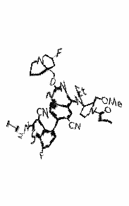 C=CC(=O)N1CCC(N(CC)c2nc(OC[C@@]34CCCN3C[C@H](F)C4)nc3cc(-c4ccc(F)c5sc(N)c(C#N)c45)c(C#N)cc23)C1COC